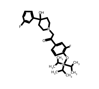 CC(C)[Si](Oc1ccc(C(=O)CN2CCC(O)(c3cccc(F)c3)CC2)cc1F)(C(C)C)C(C)C